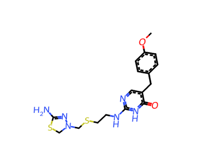 COc1ccc(Cc2cnc(NCCSCN3CSC(N)=N3)[nH]c2=O)cc1